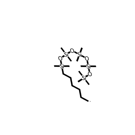 [CH2]CCCCC[Si](C)(C)O[Si](C)(C)O[Si](C)(C)O[Si](C)(C)O[Si](C)(C)C